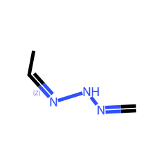 C=NN/N=C\C